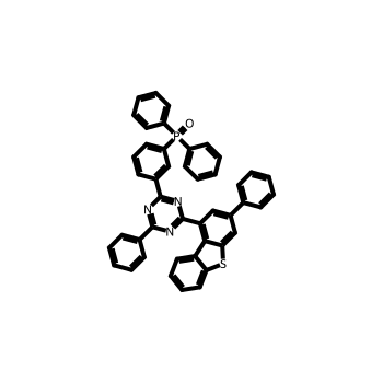 O=P(c1ccccc1)(c1ccccc1)c1cccc(-c2nc(-c3ccccc3)nc(-c3cc(-c4ccccc4)cc4sc5ccccc5c34)n2)c1